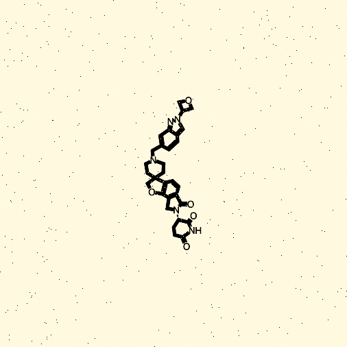 O=C1CC[C@H](N2Cc3c(ccc4c3OCC43CCN(Cc4ccc5cn(C6COC6)nc5c4)CC3)C2=O)C(=O)N1